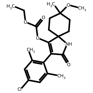 CCOC(=O)OC1=C(c2c(C)cc(Cl)cc2C)C(=O)NC12CCC(C)(OC)CC2